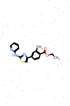 CCOC(=O)c1ccc(-c2csc(Nc3ccccn3)n2)cc1C